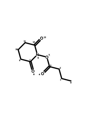 CCCC(=O)ON1C(=O)CCCC1=O